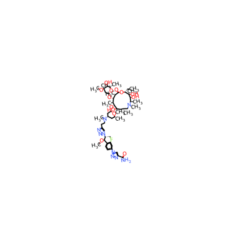 CC[C@H]1OC(=O)[C@H](C)[C@@H](O[C@H]2C[C@@](C)(OC)[C@@H](O)[C@H](C)O2)[C@H](C)[C@@H](O[C@H]2C[C@@H](N(C)CCc3cn([C@H](CF)[C@H](OC)c4ccc(-n5cc(C(N)=O)nn5)cc4)nn3)C[C@@H](C)O2)[C@](C)(O)C[C@@H](C)CN(C)[C@H](C)[C@@H](O)[C@]1(C)O